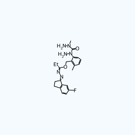 CC/C(=N/N=C1CCc2ccc(F)cc21)OCc1c(C)cccc1N(N)C(=O)N(C)N